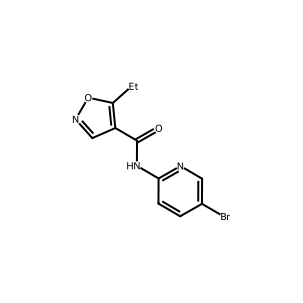 CCc1oncc1C(=O)Nc1ccc(Br)cn1